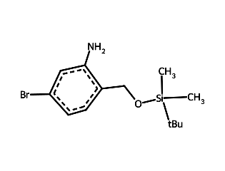 CC(C)(C)[Si](C)(C)OCc1ccc(Br)cc1N